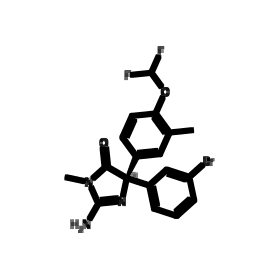 Cc1cc([C@@]2(c3cccc(Br)c3)N=C(N)N(C)C2=O)ccc1OC(F)F